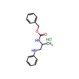 CC(CNc1ccccc1)NC(=O)OCc1ccccc1.Cl